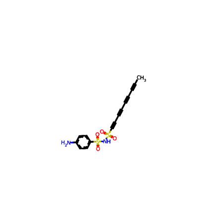 CC#CC#CC#CC#CS(=O)(=O)NS(=O)(=O)c1ccc(N)cc1